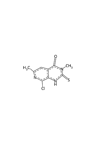 Cc1cc2c(=O)n(C)c(=S)[nH]c2c(Cl)n1